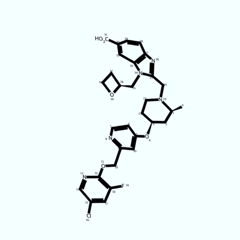 C[C@H]1C[C@@H](Oc2ccnc(COc3ncc(Cl)cc3F)c2)CCN1Cc1nc2ccc(C(=O)O)cc2n1C[C@@H]1CCO1